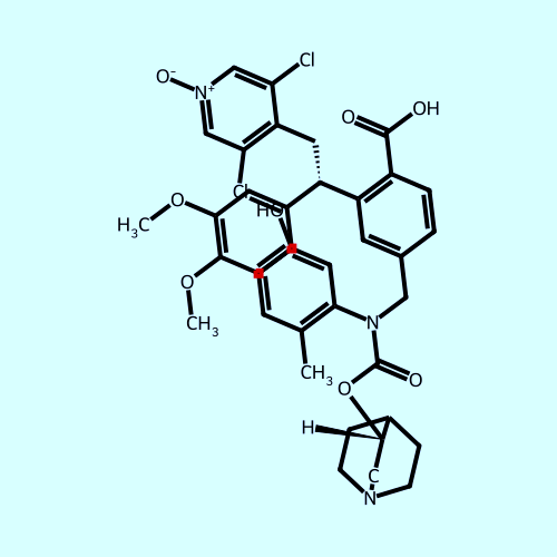 COc1ccc([C@H](Cc2c(Cl)c[n+]([O-])cc2Cl)c2cc(CN(C(=O)O[C@H]3CN4CCC3CC4)c3cc(O)ccc3C)ccc2C(=O)O)cc1OC